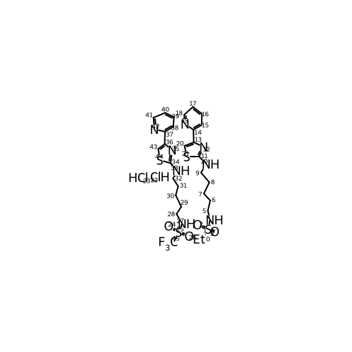 CCS(=O)(=O)NCCCCCNc1nc(-c2ccccn2)cs1.Cl.Cl.O=S(=O)(NCCCCCNc1nc(-c2ccccn2)cs1)C(F)(F)F